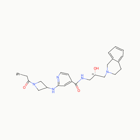 CC(C)CC(=O)N1CC(Nc2cc(C(=O)NC[C@H](O)CN3CCc4ccccc4C3)ccn2)C1